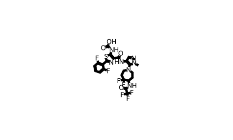 Cn1ncc(NC(=O)c2nc(-c3c(F)cccc3F)sc2NC(=O)O)c1N1CCC(NC(=O)C(F)(F)F)C(F)(F)CC1